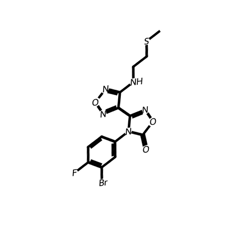 CSCCNc1nonc1-c1noc(=O)n1-c1ccc(F)c(Br)c1